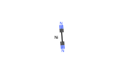 N#CC#N.[Ni]